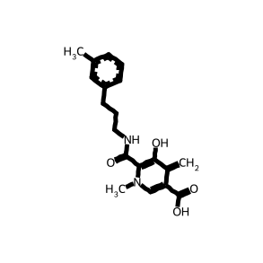 C=C1C(C(=O)O)=CN(C)C(C(=O)NCCCc2cccc(C)c2)=C1O